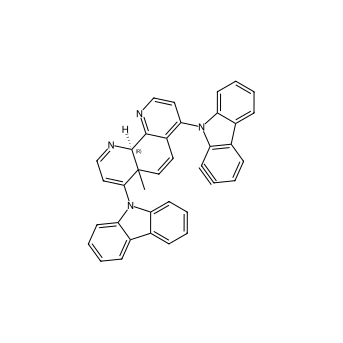 CC12C=Cc3c(-n4c5c#cccc5c5ccccc54)ccnc3[C@@H]1N=CC=C2n1c2ccccc2c2ccccc21